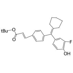 CC(C)(C)OC(=O)/C=C/c1ccc(C(=C2CCCCC2)c2ccc(O)c(F)c2)cc1